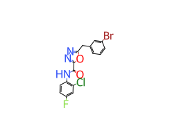 O=C(Nc1ccc(F)cc1Cl)c1nnc(Cc2cccc(Br)c2)o1